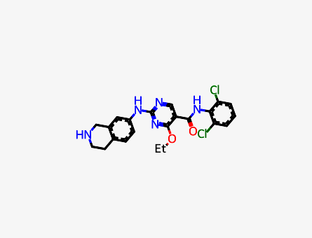 CCOc1nc(Nc2ccc3c(c2)CNCC3)ncc1C(=O)Nc1c(Cl)cccc1Cl